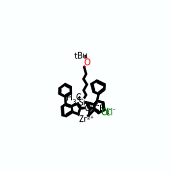 CC1=C2c3c(-c4ccccc4)cccc3[CH]1[Zr+2][CH]1C(C)=C(c3c(-c4ccccc4)cccc31)[Si]2(C)CCCCCCOC(C)(C)C.[Cl-].[Cl-]